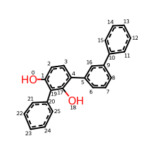 Oc1ccc(-c2cccc(-c3ccccc3)c2)c(O)c1-c1ccccc1